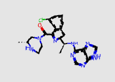 C[C@@H]1CN(C(=O)c2nc([C@H](C)Nc3ncnc4[nH]cnc34)cc3cccc(Cl)c23)CCN1